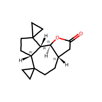 O=C1C[C@@H]2CCC3(CC3)[C@@H]3CCC4(CC4)[C@@H]3[C@H]2O1